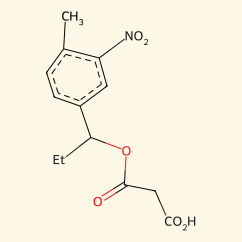 CCC(OC(=O)CC(=O)O)c1ccc(C)c([N+](=O)[O-])c1